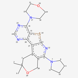 CC1(C)Cc2c(c(N3CCCC3)nc3sc4c(N5CCOCC5)ncnc4c23)CO1